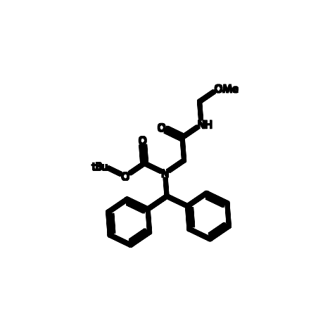 COCNC(=O)CN(C(=O)OC(C)(C)C)C(c1ccccc1)c1ccccc1